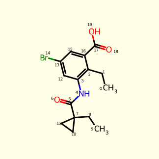 CCc1c(NC(=O)C2(CC)CC2)cc(Br)cc1C(=O)O